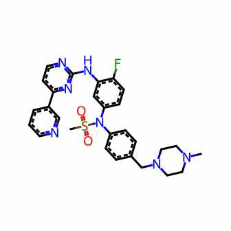 CN1CCN(Cc2ccc(N(c3ccc(F)c(Nc4nccc(-c5cccnc5)n4)c3)S(C)(=O)=O)cc2)CC1